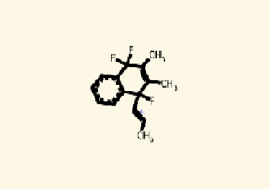 C/C=C/C1(F)C(C)=C(C)C(F)(F)c2ccccc21